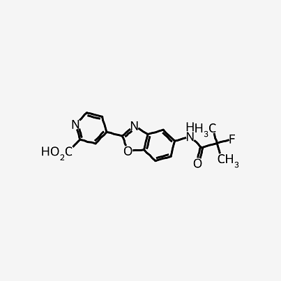 CC(C)(F)C(=O)Nc1ccc2oc(-c3ccnc(C(=O)O)c3)nc2c1